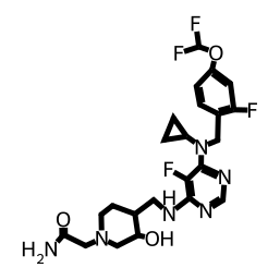 NC(=O)CN1CCC(CNc2ncnc(N(Cc3ccc(OC(F)F)cc3F)C3CC3)c2F)C(O)C1